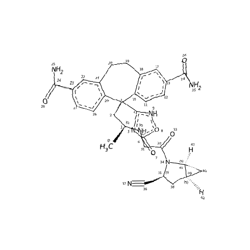 C[C@@H](CC1(c2nc(=O)o[nH]2)c2ccc(C(N)=O)cc2CCc2cc(C(N)=O)ccc21)NCC(=O)N1[C@H](C#N)C[C@@H]2C[C@@H]21